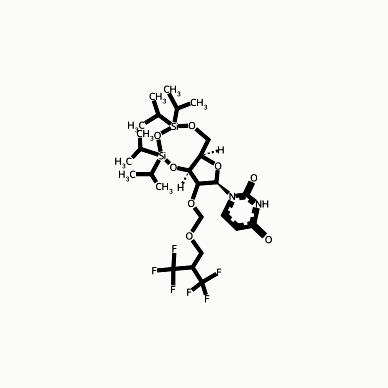 CC(C)[Si]1(C(C)C)OC[C@H]2O[C@@H](n3ccc(=O)[nH]c3=O)C(OCOCC(C(F)(F)F)C(F)(F)F)[C@H]2O[Si](C(C)C)(C(C)C)O1